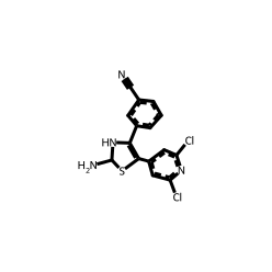 N#Cc1cccc(C2=C(c3cc(Cl)nc(Cl)c3)SC(N)N2)c1